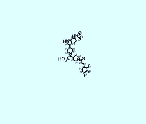 CS(=O)(=O)Nc1ccc2c(C3CCN(C(C(=O)O)C4CCN(C(=O)C=Cc5ccc(F)c(F)c5F)CC4)CC3)c[nH]c2c1